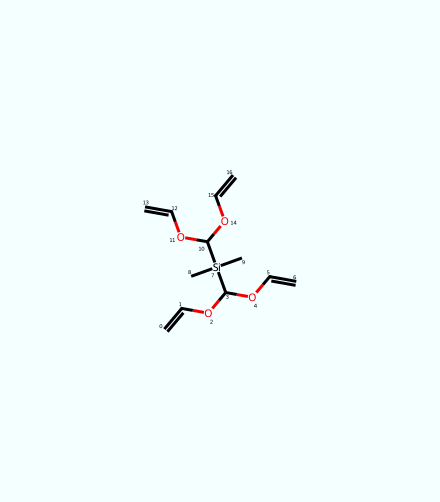 C=COC(OC=C)[Si](C)(C)C(OC=C)OC=C